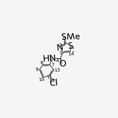 CSc1nc(C(=O)Nc2cccc(Cl)c2)[c]s1